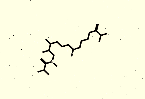 C=C(CCCCC(C)CCCC(C)C(C)CN(C)C(=C)C(C)C)C(C)C